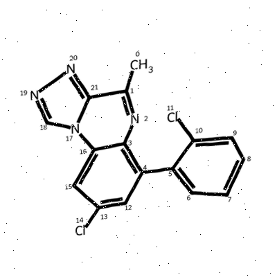 Cc1nc2c(-c3ccccc3Cl)cc(Cl)cc2n2cnnc12